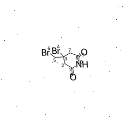 O=C1CC(Br)(CBr)CC(=O)N1